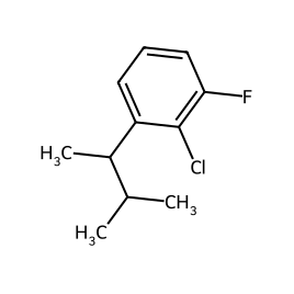 CC(C)C(C)c1cccc(F)c1Cl